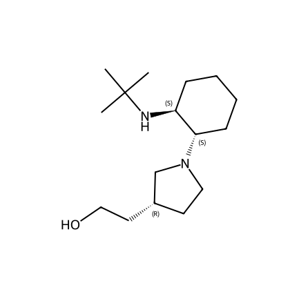 CC(C)(C)N[C@H]1CCCC[C@@H]1N1CC[C@H](CCO)C1